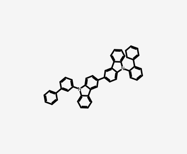 C1=CCCC(c2ccccc2-n2c3ccccc3c3cc(-c4ccc5c(c4)c4ccccc4n5-c4cccc(-c5ccccc5)c4)ccc32)=C1